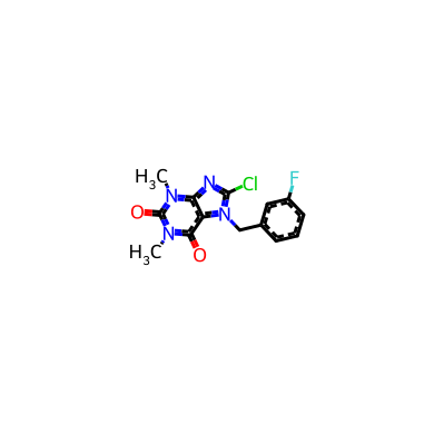 Cn1c(=O)c2c(nc(Cl)n2Cc2cccc(F)c2)n(C)c1=O